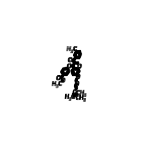 COC(=O)c1ccc(OC2c3ccc(OCOCCO[Si](C)(C)C)cc3OCC2C(=O)c2cccc(C)c2)cc1